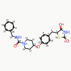 O=C1NC(=O)C(Cc2ccc(OC3CCN(C(=O)NCc4ccccc4)CC3)cc2)S1